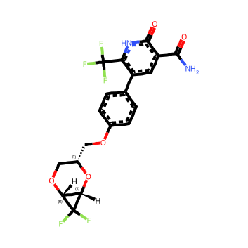 NC(=O)c1cc(-c2ccc(OC[C@H]3CO[C@@H]4[C@H](O3)C4(F)F)cc2)c(C(F)(F)F)[nH]c1=O